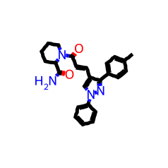 Cc1ccc(-c2nn(-c3ccccc3)cc2C=CC(=O)N2CCCCC2C(N)=O)cc1